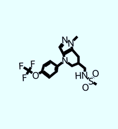 Cn1ncc2c1CC(CNS(C)(=O)=O)CN2c1ccc(OC(F)(F)F)cc1